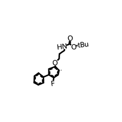 CC(C)(C)OC(=O)NCCCOc1[c]cc(F)c(-c2ccccc2)c1